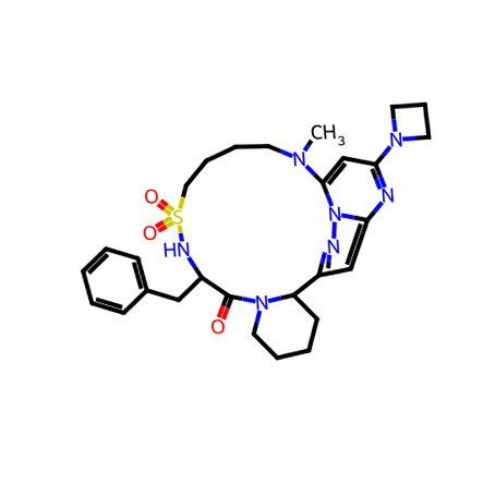 CN1CCCCS(=O)(=O)NC(Cc2ccccc2)C(=O)N2CCCCC2c2cc3nc(N4CCC4)cc1n3n2